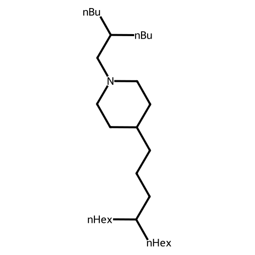 CCCCCCC(CCCCCC)CCCC1CCN(CC(CCCC)CCCC)CC1